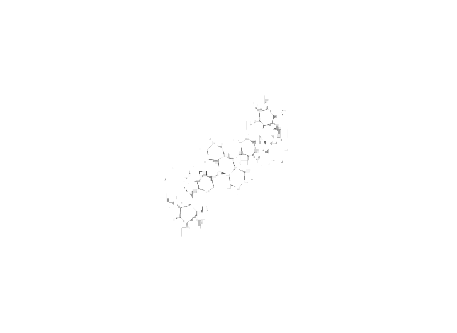 CC12CCCCC1(C)N(c1c(F)c(F)c(F)c(F)c1F)c1ccc(-c3c4ccccc4c(-c4ccc5c(c4)C4(C)CCCCC4(C)N5c4c(F)c(F)c(F)c(F)c4F)c4ccccc34)cc12